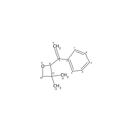 C=C(c1ccccc1)C1OCC1(C)C